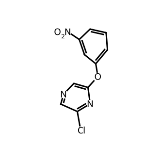 O=[N+]([O-])c1cccc(Oc2cncc(Cl)n2)c1